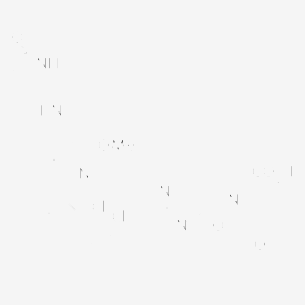 COc1nc(-c2cccc(-c3cccc(-c4ccn5c(=O)c(CN6C[C@@H](O)C[C@H]6C(=O)O)cnc5c4)c3Cl)c2Cl)ccc1CNC[C@@H]1CCC(=O)N1